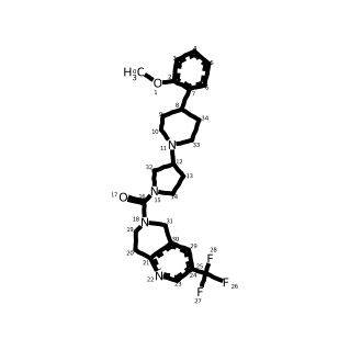 COc1ccccc1C1CCN(C2CCN(C(=O)N3CCc4ncc(C(F)(F)F)cc4C3)C2)CC1